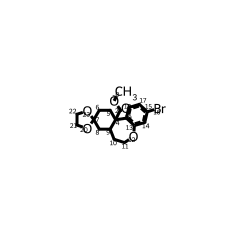 COC(=O)C12CCC3(CC1CCOc1cc(Br)ccc12)OCCO3